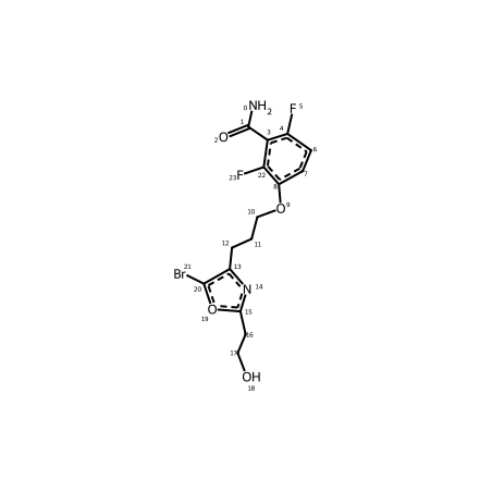 NC(=O)c1c(F)ccc(OCCCc2nc(CCO)oc2Br)c1F